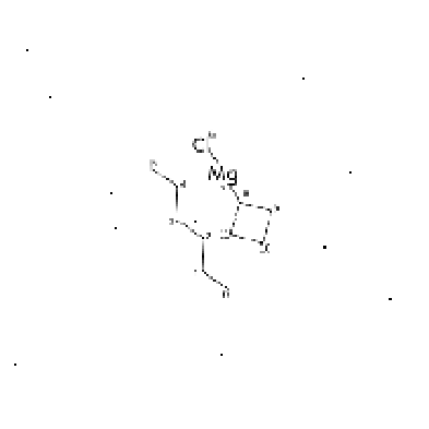 CCCCCC.[Cl][Mg][CH]1CCC1